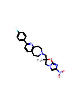 CC1(CN2CCc3ccc(-c4ccc(F)cc4)nc3CC2)Cn2cc([N+](=O)[O-])nc2O1